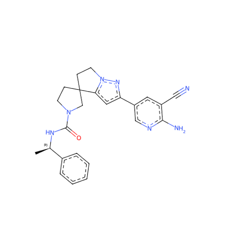 C[C@@H](NC(=O)N1CCC2(CCn3nc(-c4cnc(N)c(C#N)c4)cc32)C1)c1ccccc1